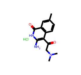 Cc1ccc2c(C(=O)CN(C)C)c(N)[nH]c(=O)c2c1.Cl